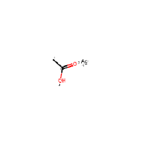 CC(=O)O.[Ag]